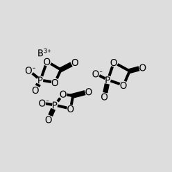 O=C1OP(=O)([O-])O1.O=C1OP(=O)([O-])O1.O=C1OP(=O)([O-])O1.[B+3]